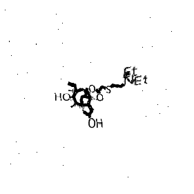 C=C[C@]1(C)C[C@@H](OC(=O)CSCCN(CC)CC)[C@@]2(C)C3=CC(O)C[C@@]3(CCC2C)[C@@H](C)[C@@H]1O